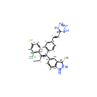 CC/C(=C(/c1ccc(/C=C/c2nnn[nH]2)cc1)c1ccc2c(c1)C(F)NN2)c1ccc(F)cc1Cl